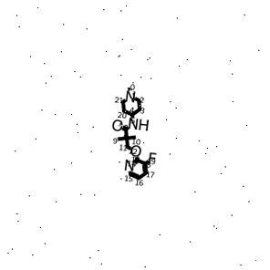 CN1CCC(NC(=O)C(C)(C)COc2ncccc2F)CC1